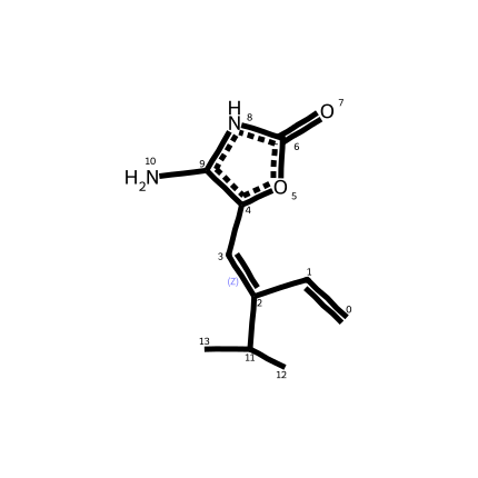 C=C/C(=C\c1oc(=O)[nH]c1N)C(C)C